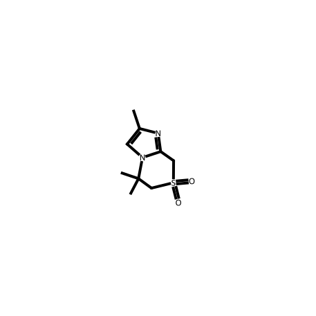 Cc1cn2c(n1)CS(=O)(=O)CC2(C)C